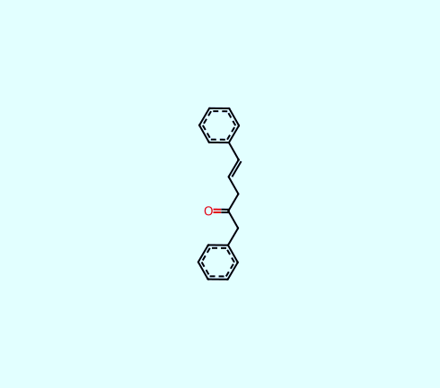 O=C(CC=Cc1ccccc1)Cc1ccccc1